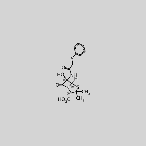 CC1(C)S[C@H]2N(C(=O)[C@]2(O)NC(=O)CSc2ccccc2)[C@H]1C(=O)O